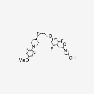 COc1cnc(N2CCC([C@H]3CC3CCOc3cc(F)c(CC(=O)N4CC(O)C4)c(F)c3)CC2)nc1